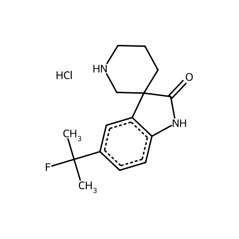 CC(C)(F)c1ccc2c(c1)C1(CCCNC1)C(=O)N2.Cl